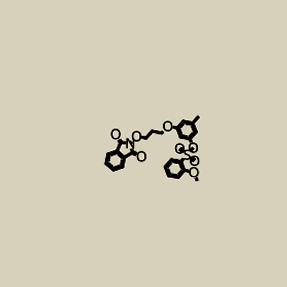 COc1ccccc1S(=O)(=O)Oc1cc(C)cc(OCCCON2C(=O)c3ccccc3C2=O)c1